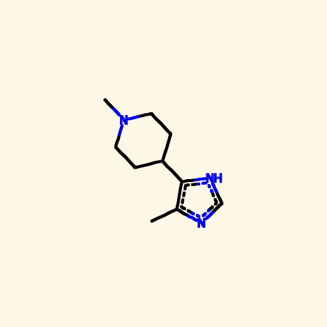 Cc1nc[nH]c1C1CCN(C)CC1